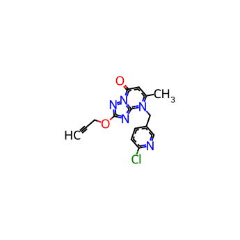 C#CCOc1nc2n(Cc3ccc(Cl)nc3)c(C)cc(=O)n2n1